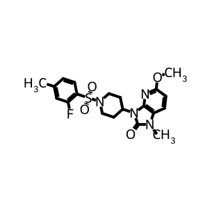 COc1ccc2c(n1)n(C1CCN(S(=O)(=O)c3ccc(C)cc3F)CC1)c(=O)n2C